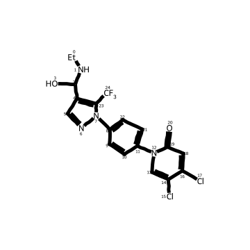 CCNC(O)c1cnn(-c2ccc(-n3cc(Cl)c(Cl)cc3=O)cc2)c1C(F)(F)F